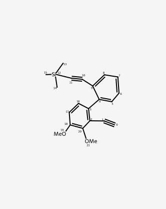 C#Cc1c(-c2ccccc2C#C[Si](C)(C)C)ccc(OC)c1OC